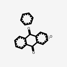 O.O=C1c2ccccc2C(=O)c2ccccc21.c1ccccc1